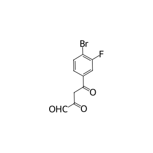 O=CC(=O)CC(=O)c1ccc(Br)c(F)c1